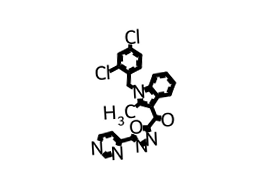 Cc1c(C(=O)c2nnc(-c3ccncn3)o2)c2ccccc2n1Cc1ccc(Cl)cc1Cl